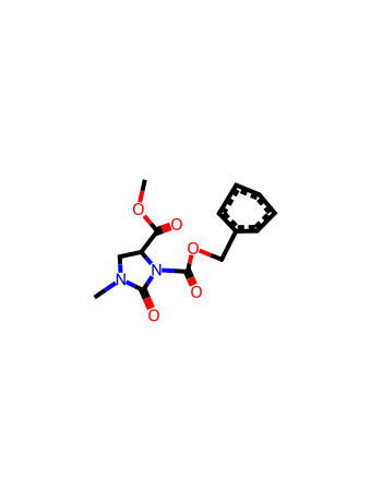 COC(=O)C1CN(C)C(=O)N1C(=O)OCc1ccccc1